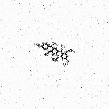 COc1ccc(C(C)c2cc(C(C)c3ccc(CO)cc3)c(CO)c(OC)c2OC)c(OC)c1